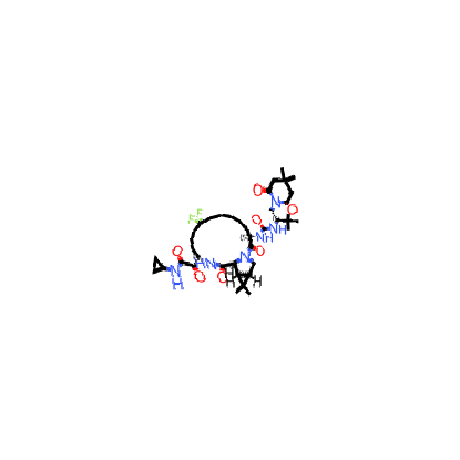 CC1(C)CC(=O)N(C[C@@H](NC(=O)N[C@H]2CCCCCC(F)(F)CCC[C@@H](C(=O)C(=O)NC3CC3)NC(=O)[C@@H]3[C@@H]4[C@H](CN3C2=O)C4(C)C)C(C)(C)C)C(=O)C1